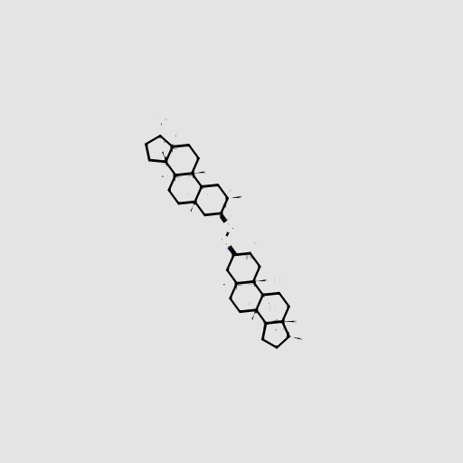 C[C@@H]1C[C@@]2(C)[C@@H](CC[C@@H]3[C@@H]2CC[C@]2(C)[C@@H](O)CC[C@@H]32)C/C1=N/N=C1\C[C@@H]2CC[C@@H]3[C@H](CC[C@]4(C)[C@@H](O)CC[C@@H]34)[C@@]2(C)C[C@H]1C